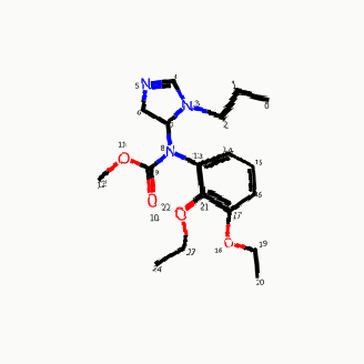 CCCN1C=NCC1N(C(=O)OC)c1cccc(OCC)c1OCC